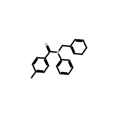 Cc1ccc(C(=O)N(CC2=CCCC=C2)c2ccccc2)cc1